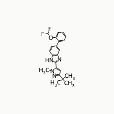 Cn1nc(C(C)(C)C)cc1-c1nc2cc(-c3ccccc3OC(F)F)ccc2[nH]1